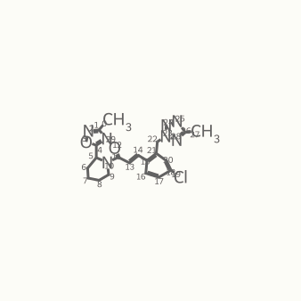 Cc1noc(C2CCCCN2C(=O)C=Cc2ccc(Cl)cc2Cn2nnc(C)n2)n1